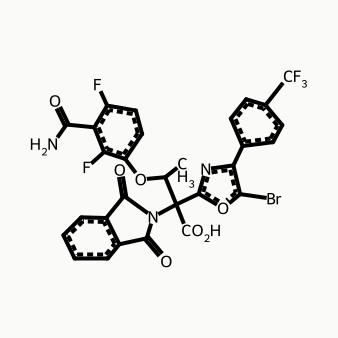 CC(Oc1ccc(F)c(C(N)=O)c1F)C(C(=O)O)(c1nc(-c2ccc(C(F)(F)F)cc2)c(Br)o1)N1C(=O)c2ccccc2C1=O